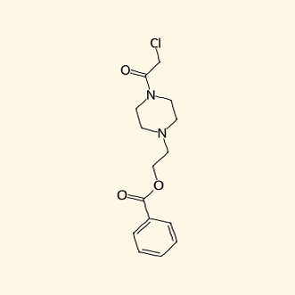 O=C(OCCN1CCN(C(=O)CCl)CC1)c1ccccc1